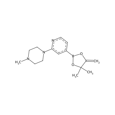 C=C1OB(c2ccnc(N3CCN(C)CC3)c2)OC1(C)C